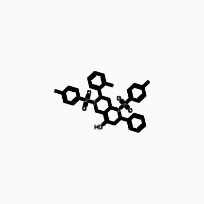 Cc1ccc(S(=O)(=O)N2CC3=C(O)CC(c4ccccc4)N(S(=O)(=O)c4ccc(C)cc4)C3CC2c2ccccc2C)cc1